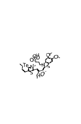 COc1cc2c(cc1OC)N(CCCS(=O)(=O)O)C(=CC(C)=Cc1sc3c([n+]1C)[Te]C(C)C=C3)S2.[OH-]